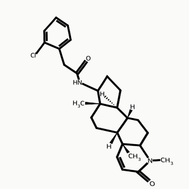 CN1C(=O)C=C[C@@]2(C)C1CC[C@@H]1[C@H]2CC[C@]2(C)C(NC(=O)Cc3ccccc3Cl)CC[C@@H]12